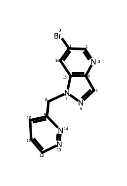 Brc1cnc2cnn(Cc3cccnn3)c2c1